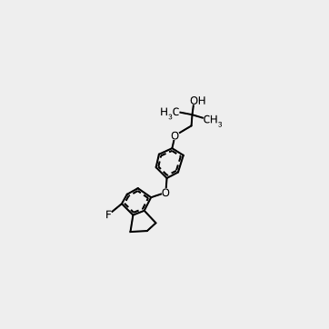 CC(C)(O)COc1ccc(Oc2ccc(F)c3c2CCC3)cc1